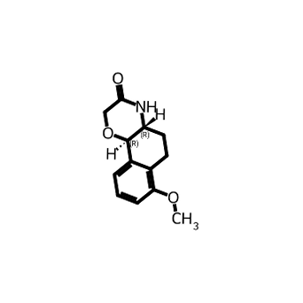 COc1cccc2c1CC[C@H]1NC(=O)CO[C@H]21